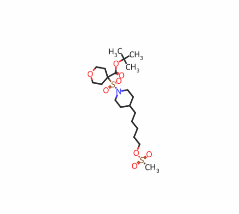 CC(C)(C)OC(=O)C1(S(=O)(=O)N2CCC(CCCCCOS(C)(=O)=O)CC2)CCOCC1